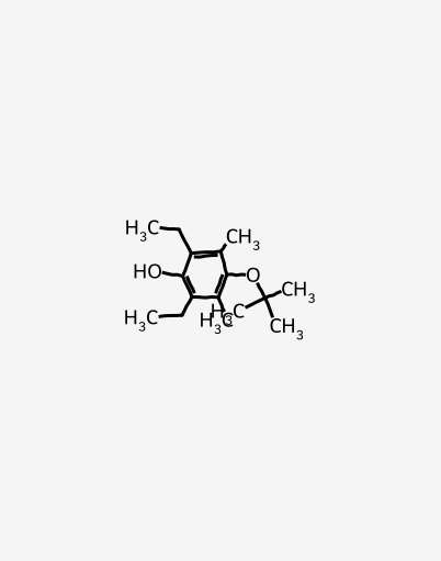 CCc1c(C)c(OC(C)(C)C)c(C)c(CC)c1O